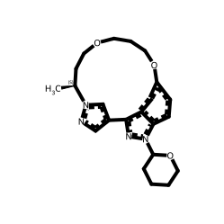 C[C@H]1CCOCCCOc2ccc3c(c2)c(nn3C2CCCCO2)-c2cnn1c2